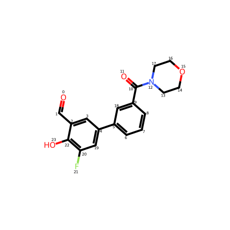 O=Cc1cc(-c2cccc(C(=O)N3CCOCC3)c2)cc(F)c1O